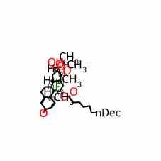 CCCCCCCCCCCCCCCC(=O)O[C@H]1C[C@@]2(C)[C@@H](C[C@H]3OC(C)(C)O[C@]32C(=O)CO)[C@@H]2CCC3=CC(=O)C=C[C@]3(C)[C@@]12F